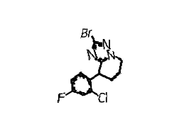 Fc1ccc(C2CCCn3nc(Br)nc32)c(Cl)c1